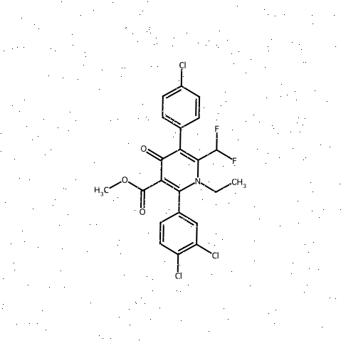 CCn1c(-c2ccc(Cl)c(Cl)c2)c(C(=O)OC)c(=O)c(-c2ccc(Cl)cc2)c1C(F)F